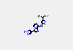 CCCC(CCC)c1cc(Nc2nccn3c(-c4cn[nH]c4)cnc23)sn1